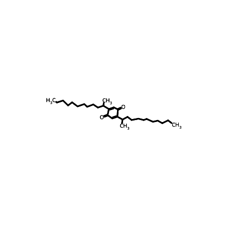 CCCCCCCCCCC(C)C1=CC(=O)C(C(C)CCCCCCCCCC)=CC1=O